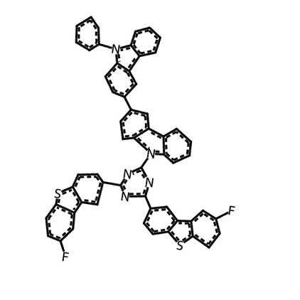 Fc1ccc2sc3ccc(-c4nc(-c5ccc6sc7ccc(F)cc7c6c5)nc(-n5c6ccccc6c6cc(-c7ccc8c(c7)c7ccccc7n8-c7ccccc7)ccc65)n4)cc3c2c1